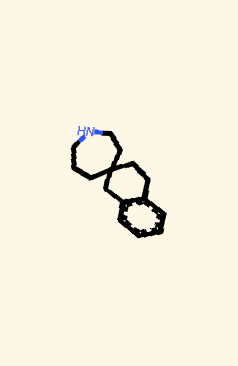 c1ccc2c(c1)CCC1(CCCNCC1)C2